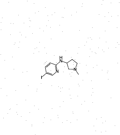 CN1CCC(Nc2ccc(I)cn2)C1